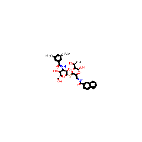 COc1cc(OC)cc(C(=O)NC2C(O)[C@@H](CO)O[C@@H](SC(OC(CO)[C@@H](C)O)C(O)CNC(=O)c3ccc4ccccc4c3)C2O)c1